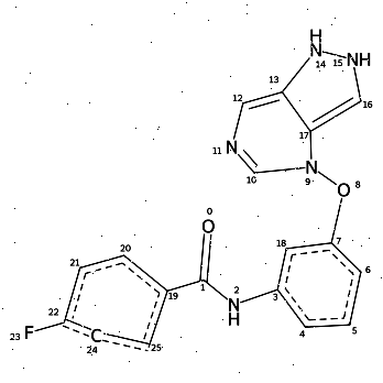 O=C(Nc1cccc(ON2C=NC=C3NNC=C32)c1)c1ccc(F)cc1